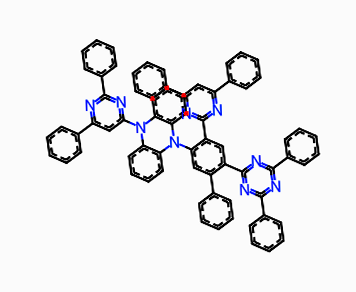 c1ccc(-c2cc(N3c4ccccc4N(c4cc(-c5ccccc5)c(-c5nc(-c6ccccc6)nc(-c6ccccc6)n5)cc4-c4nc(-c5ccccc5)cc(-c5ccccc5)n4)c4ccccc43)nc(-c3ccccc3)n2)cc1